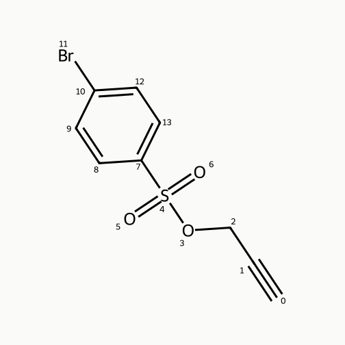 C#CCOS(=O)(=O)c1ccc(Br)cc1